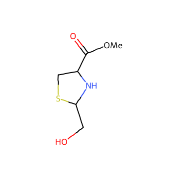 COC(=O)C1CSC(CO)N1